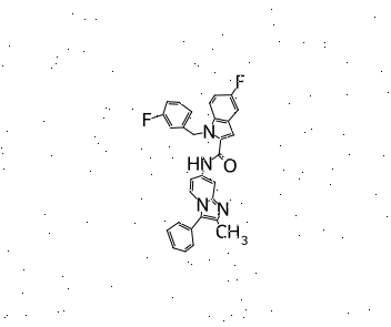 Cc1nc2cc(NC(=O)c3cc4cc(F)ccc4n3Cc3cccc(F)c3)ccn2c1-c1ccccc1